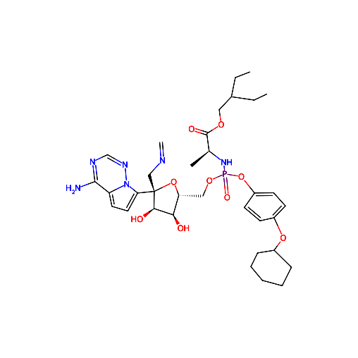 C=NC[C@@]1(c2ccc3c(N)ncnn23)O[C@H](COP(=O)(N[C@@H](C)C(=O)OCC(CC)CC)Oc2ccc(OC3CCCCC3)cc2)[C@@H](O)[C@H]1O